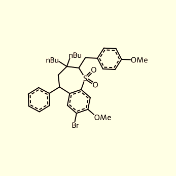 CCCCC1(CCCC)CC(c2ccccc2)c2cc(Br)c(OC)cc2S(=O)(=O)C1Cc1ccc(OC)cc1